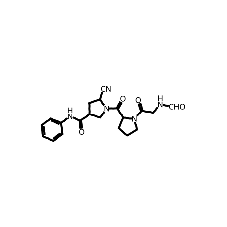 N#CC1CC(C(=O)Nc2ccccc2)CN1C(=O)C1CCCN1C(=O)CNC=O